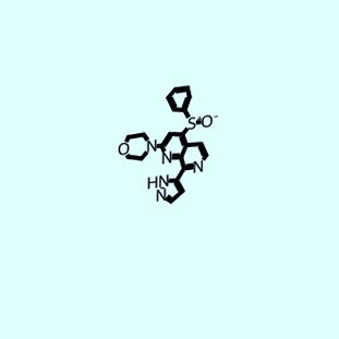 [O-][S+](c1ccccc1)c1cc(N2CCOCC2)nc2c(-c3ccn[nH]3)nccc12